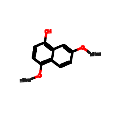 CCCCCCOc1ccc2c(OCCCCCC)ccc(O)c2c1